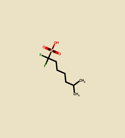 CC(C)CCCCC(F)(F)S(=O)(=O)O